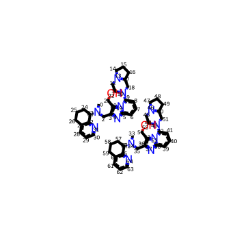 CN(Cc1nc2cccc(N3CCN4CCCC4C3)n2c1CO)[C@H]1CCCc2cccnc21.CN(Cc1nc2cccc(N3CCN4CCCC4C3)n2c1CO)[C@H]1CCCc2cccnc21